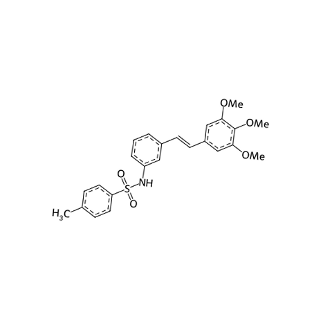 COc1cc(C=Cc2cccc(NS(=O)(=O)c3ccc(C)cc3)c2)cc(OC)c1OC